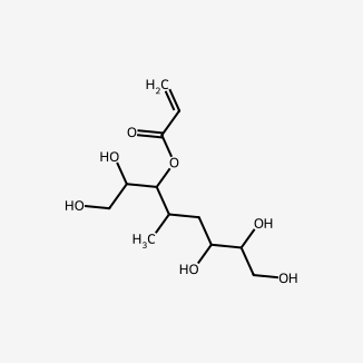 C=CC(=O)OC(C(C)CC(O)C(O)CO)C(O)CO